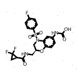 O=C(O)Nc1ccc2c(c1)N(S(=O)(=O)c1ccc(F)cc1)C[C@H](CNC(=O)C1CC1(F)F)O2